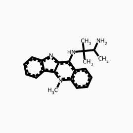 CC(N)C(C)(C)Nc1c2nc3ccccc3c-2n(C)c2ccccc12